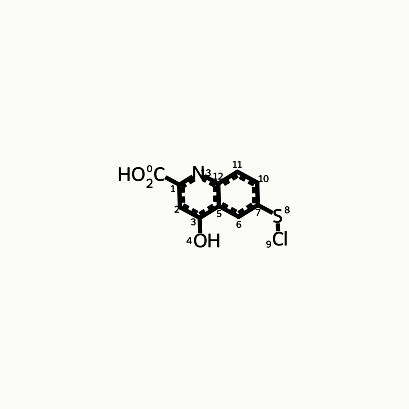 O=C(O)c1cc(O)c2cc(SCl)ccc2n1